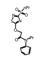 CCCS(=O)(=O)c1nsc(OCC(=O)N(c2ccccc2)C(C)C)n1